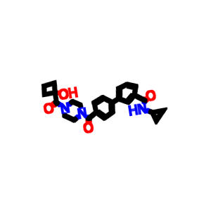 O=C(NC1CC1)c1cccc(-c2ccc(C(=O)N3CCN(C(=O)C4(O)CCC4)CC3)cc2)c1